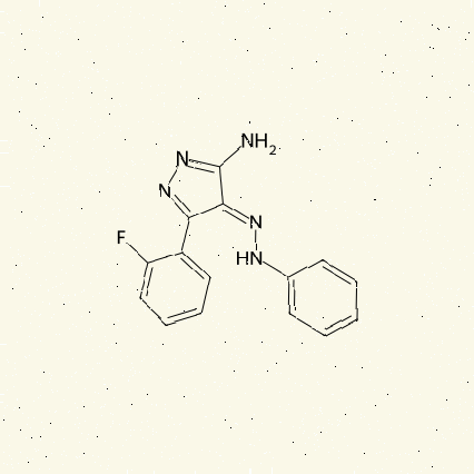 NC1=NN=C(c2ccccc2F)/C1=N\Nc1ccccc1